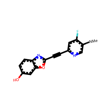 CNc1cnc(C#Cc2nc3ccc(O)cc3o2)cc1F